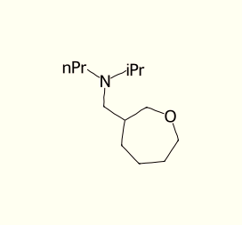 CCCN(CC1CCCCOC1)C(C)C